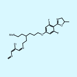 C=N/C=C(\C=N/CCC(CCCOc1cc(F)c(C2=NCC(C)O2)c(F)c1)CCNC)CC